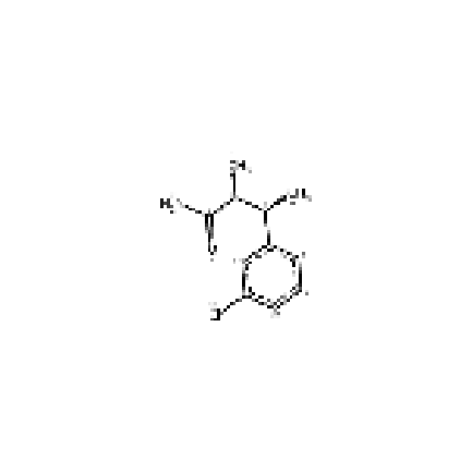 C[C@H](C(N)=O)[C@@H](C)c1cccc(Cl)c1